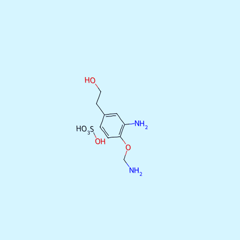 NCOc1ccc(CCO)cc1N.O=S(=O)(O)O